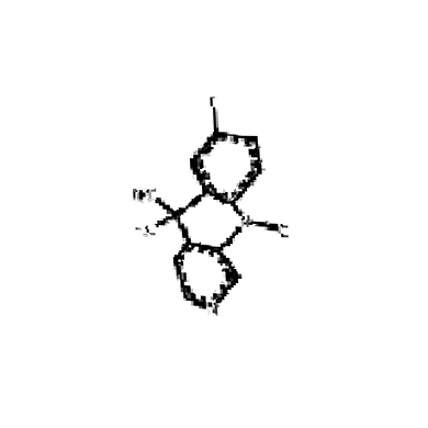 CCCC1(C(F)(F)F)c2ccncc2N(Cl)c2ccc(F)cc21